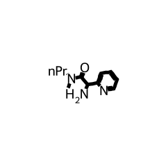 CCCN(C)C(=O)C(N)c1ccccn1